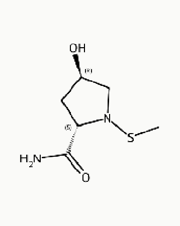 CSN1C[C@H](O)C[C@H]1C(N)=O